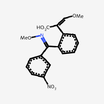 CO/C=C(/C(=O)O)c1ccccc1C(=NOC)c1cccc([N+](=O)[O-])c1